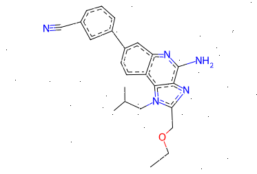 CCOCc1nc2c(N)nc3cc(-c4cccc(C#N)c4)ccc3c2n1CC(C)C